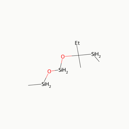 CCC(C)(O[SiH2]O[SiH2]C)[SiH2]C